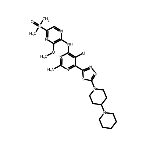 COc1nc(P(C)(C)=O)cnc1Nc1nc(N)nc(-c2nnc(N3CCC(N4CCCCC4)CC3)s2)c1Cl